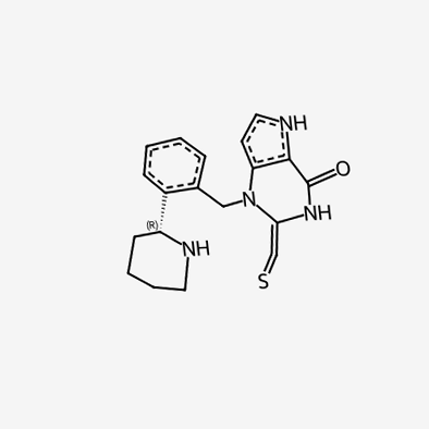 O=C1NC(=C=S)N(Cc2ccccc2[C@H]2CCCCN2)c2cc[nH]c21